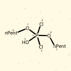 CCCCCOP(O)(Cl)(Cl)OCCCCC